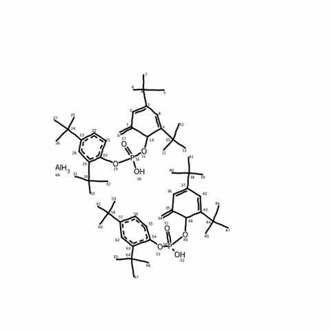 C=C1C=C(C(C)(C)C)C=C(C(C)(C)C)C1OP(=O)(O)Oc1ccc(C(C)(C)C)cc1C(C)(C)C.C=C1C=C(C(C)(C)C)C=C(C(C)(C)C)C1OP(=O)(O)Oc1ccc(C(C)(C)C)cc1C(C)(C)C.[AlH3]